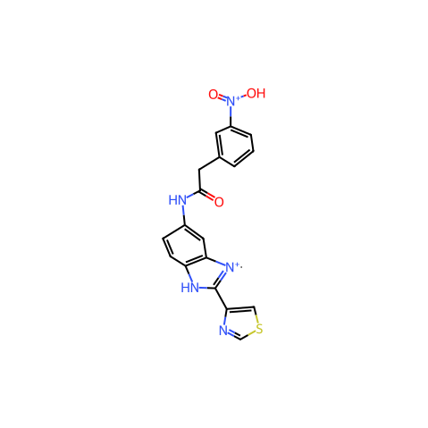 O=C(Cc1cccc([N+](=O)O)c1)Nc1ccc2c(c1)[N+]=C(c1cscn1)N2